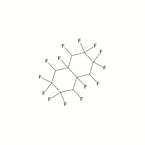 FC1C(F)(F)C(F)(F)C(F)C2(F)C(F)C(F)(F)C(F)(F)C(F)C12F